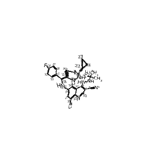 CC(C)(C)NNc1c(C#N)cnc2c(Cl)cc(NC(C3=CN(C4CC4)NN3)c3ccc(F)cc3)cc12